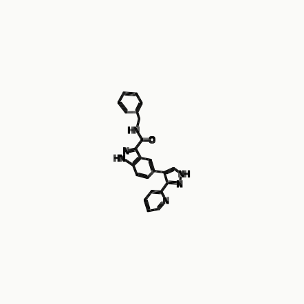 O=C(NCc1ccccc1)c1n[nH]c2ccc(-c3c[nH]nc3-c3ccccn3)cc12